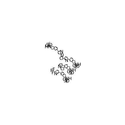 CC(C)S(=O)(=O)NC1Cc2ccc(-c3ccc(Cl)cn3)cc2C1.CC(C)S(=O)(=O)NC1Cc2ccc(-c3cccnc3Cl)cc2C1.CC(C)S(=O)(=O)N[C@H]1Cc2ccc(-c3ccc(C(F)(F)F)nc3)cc2C1.COc1ccc(-c2ccc3c(c2)CC(NS(=O)(=O)C(C)C)C3)cn1